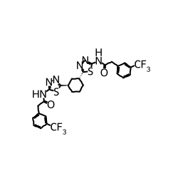 O=C(Cc1cccc(C(F)(F)F)c1)Nc1nnc([C@@H]2CCC[C@@H](c3nnc(NC(=O)Cc4cccc(C(F)(F)F)c4)s3)C2)s1